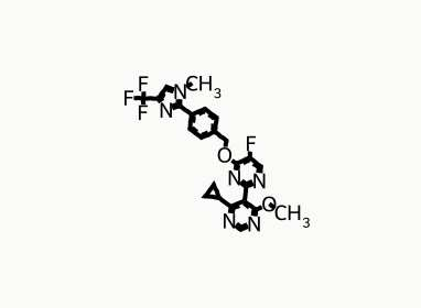 COc1ncnc(C2CC2)c1-c1ncc(F)c(OCc2ccc(-c3nc(C(F)(F)F)cn3C)cc2)n1